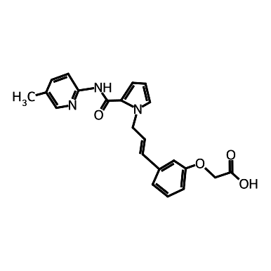 Cc1ccc(NC(=O)c2cccn2C/C=C/c2cccc(OCC(=O)O)c2)nc1